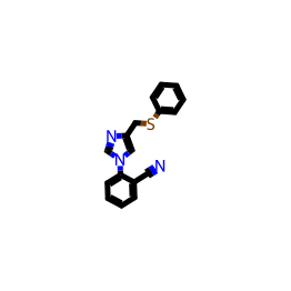 N#Cc1ccccc1-n1cnc(CSc2ccccc2)c1